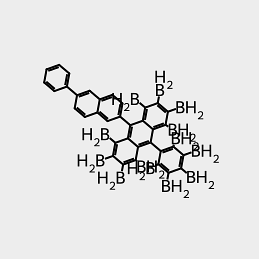 Bc1c(B)c(B)c(-c2c3c(B)c(B)c(B)c(B)c3c(-c3ccc4cc(-c5ccccc5)ccc4c3)c3c(B)c(B)c(B)c(B)c23)c(B)c1B